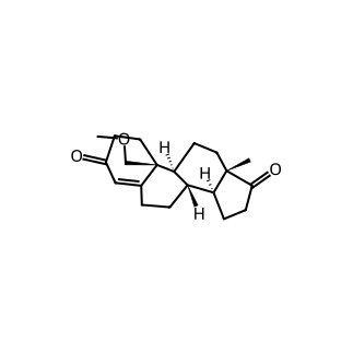 COC[C@]12CCC(=O)C=C1CC[C@@H]1[C@@H]2CC[C@]2(C)C(=O)CC[C@@H]12